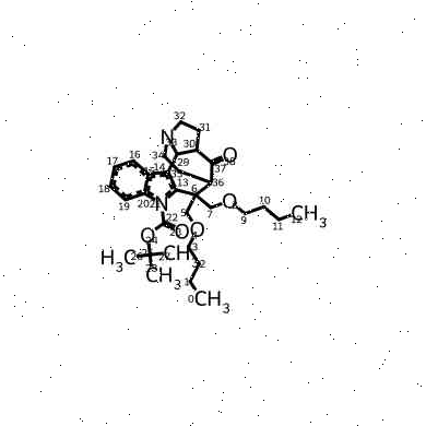 CCCCOCC1(COCCCC)c2c(c3ccccc3n2C(=O)OC(C)(C)C)C2C3CCN2CCC1C3=O